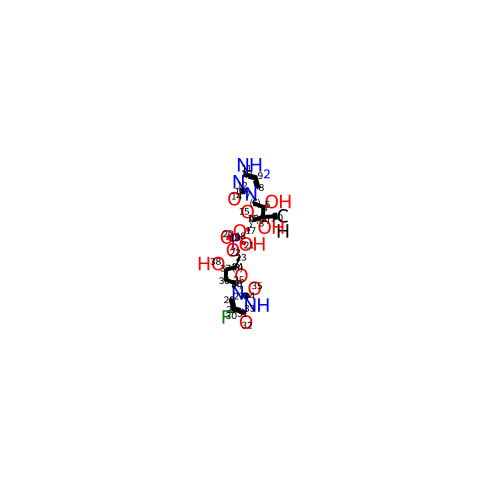 C#C[C@]1(O)C(O)[C@@H](n2ccc(N)nc2=O)O[C@H]1COP(=O)(O)OC[C@H]1O[C@@H](n2cc(F)c(=O)[nH]c2=O)CC1O